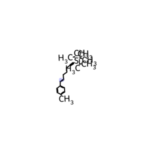 Cc1ccc(/C=C/CCCC#C[Si](C(C)C)(C(C)C)C(C)C)cc1